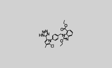 CCOC(=O)c1cccc2nc(OCC)n(Cc3ccc(-n4c(-c5nnn[nH]5)cc(C)c4Cl)cc3)c12